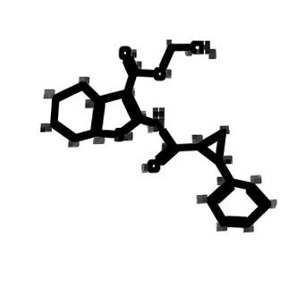 CCOC(=O)c1c(NC(=O)C2CC2c2ccccc2)sc2c1CCCC2